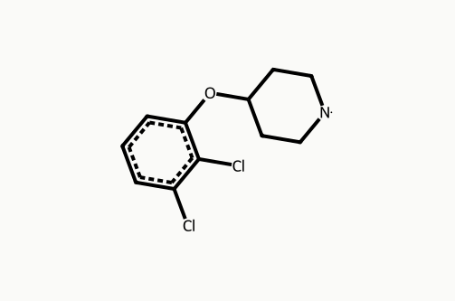 Clc1cccc(OC2CC[N]CC2)c1Cl